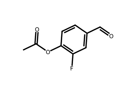 CC(=O)Oc1ccc(C=O)cc1F